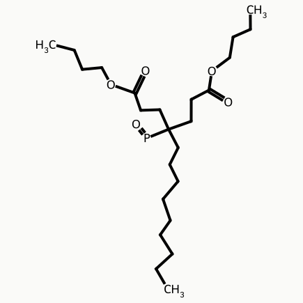 CCCCCCCCCC(CCC(=O)OCCCC)(CCC(=O)OCCCC)P=O